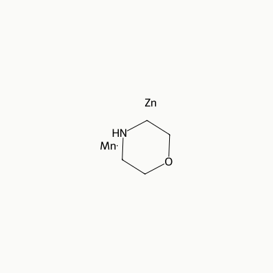 C1COCCN1.[Mn].[Zn]